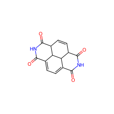 O=C1NC(=O)C2C=CC3C(=O)NC(=O)C4=CC=C1C2C43